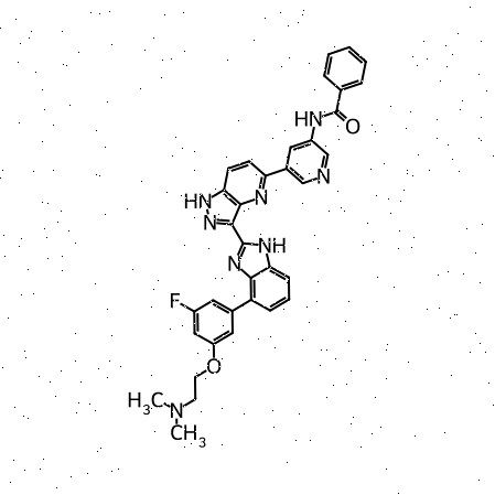 CN(C)CCOc1cc(F)cc(-c2cccc3[nH]c(-c4n[nH]c5ccc(-c6cncc(NC(=O)c7ccccc7)c6)nc45)nc23)c1